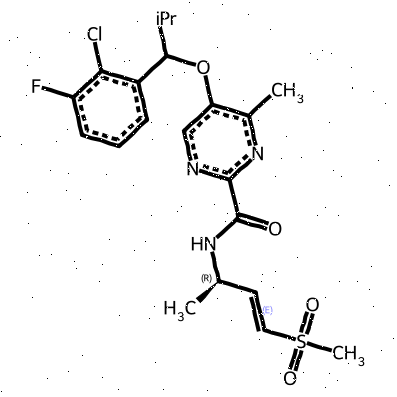 Cc1nc(C(=O)N[C@H](C)/C=C/S(C)(=O)=O)ncc1OC(c1cccc(F)c1Cl)C(C)C